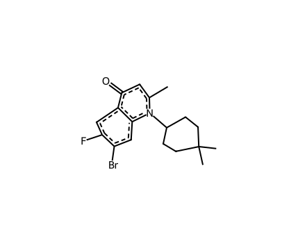 Cc1cc(=O)c2cc(F)c(Br)cc2n1C1CCC(C)(C)CC1